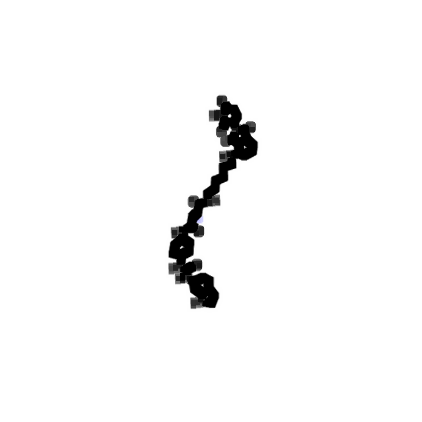 O=C(/C=C/C(=O)Nc1ccc(NC(=O)Nc2ccc3cc[nH]c3c2)cc1)NCCCCCCNc1cccc2c1C(=O)N(C1CCC(=O)NC1=O)C2=O